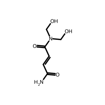 NC(=O)/C=C/C(=O)N(CO)CO